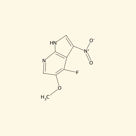 COc1cnc2[nH]cc([N+](=O)[O-])c2c1F